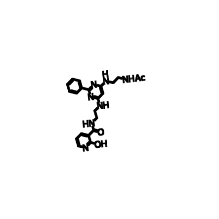 CC(=O)NCCNc1cc(NCCNC(=O)c2cccnc2O)nc(-c2ccccc2)n1